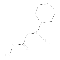 NNC(=O)CN(N)C1CCSSC1